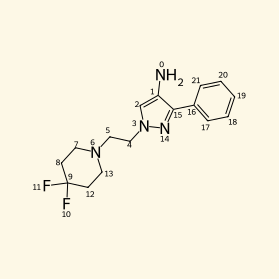 Nc1cn(CCN2CCC(F)(F)CC2)nc1-c1ccccc1